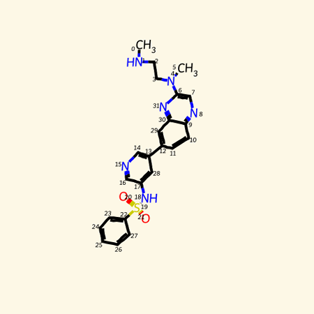 CNCCN(C)c1cnc2ccc(-c3cncc(NS(=O)(=O)c4ccccc4)c3)cc2n1